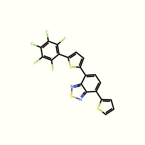 Fc1c(F)c(F)c(-c2ccc(-c3ccc(-c4cccs4)c4nsnc34)s2)c(F)c1F